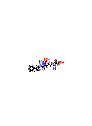 O=C(O)NC(CCCCNC(=S)CO)C(=O)Nc1nc(-c2ccccc2)cs1